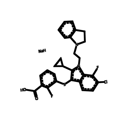 O=C(O)c1cccc(Sc2c(C3CC3)n(CCN3CCc4ccccc43)c3c(F)c(Cl)ccc23)c1F.[NaH]